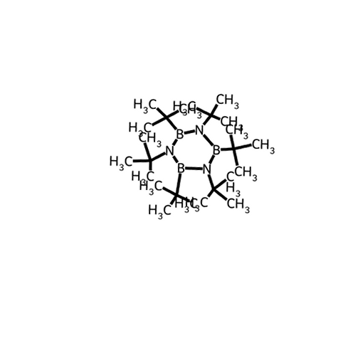 CC(C)(C)B1N(C(C)(C)C)B(C(C)(C)C)N(C(C)(C)C)B(C(C)(C)C)N1C(C)(C)C